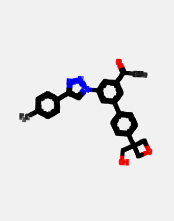 COC(=O)c1cc(-c2ccc(C3(CO)COC3)cc2)cc(-n2cc(-c3ccc(C(F)(F)F)cc3)nn2)c1